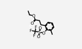 CCOC(=O)CCc1cccc(C)c1OS(=O)(=O)C(F)(F)F